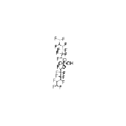 O=P(O)(OC(F)C(F)(F)C(F)(F)C(F)C(F)C(F)F)OC(F)C(F)(F)C(F)(F)C(F)C(F)C(F)F